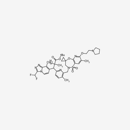 Cc1ccc(C(c2ccn3c(C(F)F)nnc3c2C)C(C)(C)C(=O)OC(C)(C)C)nc1CN1CC2(CC2)Oc2nc(OCCN3CCCC3)c(C)cc2S1(=O)=O